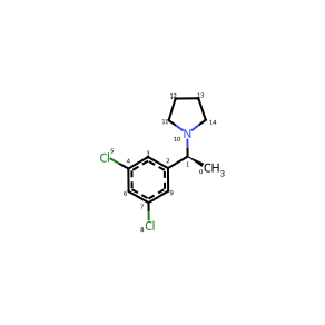 C[C@@H](c1cc(Cl)cc(Cl)c1)N1C[CH]CC1